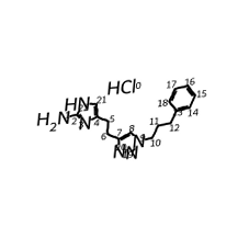 Cl.Nc1nc(CCc2cn(CCCc3ccccc3)nn2)c[nH]1